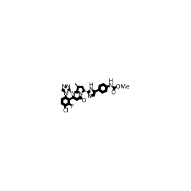 COC(=O)Nc1ccc(-c2cnc([C@H]3C[C@H](C)c4nc(-c5c(-n6cnnn6)ccc(Cl)c5F)cc(=O)n43)[nH]2)cc1